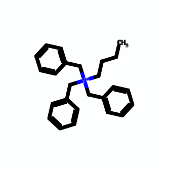 CCCC[N+](Cc1ccccc1)(Cc1ccccc1)Cc1ccccc1